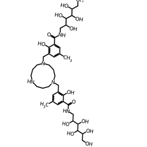 Cc1cc(CN2CCCNCCCN(Cc3cc(C)cc(C(=O)NCC(O)C(O)C(O)C(O)CO)c3O)CCC2)c(O)c(C(=O)NCC(O)C(O)C(O)C(O)CO)c1